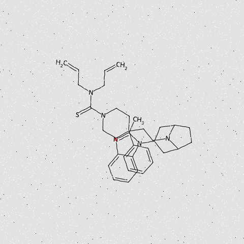 C=CCN(CC=C)C(=S)N1CCC(CCN2C3CCC2CC(n2c(C)nc4ccccc42)C3)(c2ccccc2)CC1